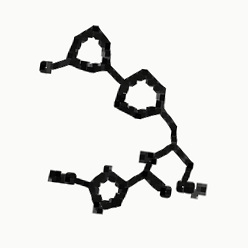 COc1ncc(C(=O)NC(CC(=O)O)Cc2ccc(-c3cccc(Cl)c3)cc2)s1